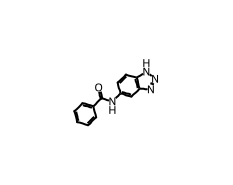 O=C(Nc1ccc2[nH]nnc2c1)c1ccccc1